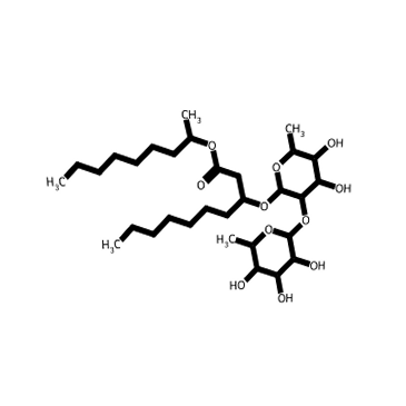 CCCCCCCC(C)OC(=O)CC(CCCCCCC)OC1OC(C)C(O)C(O)C1OC1OC(C)C(O)C(O)C1O